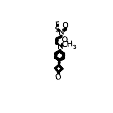 CN(/C=C\C(=O)N(C=O)SF)c1ccc(C2CC(=O)C2)cc1